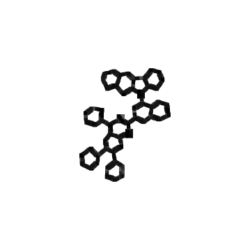 c1ccc(-c2cc3nc(-c4cc(-n5c6ccccc6c6cc7ccccc7cc65)c5ccccc5c4)nc(-c4ccccc4)c3cc2-c2ccccc2)cc1